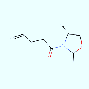 C=CCCC(=O)N1C(C=O)OC[C@@H]1C(C)C